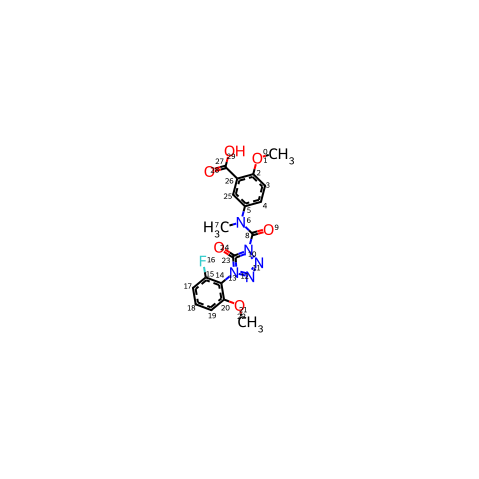 COc1ccc(N(C)C(=O)n2nnn(-c3c(F)cccc3OC)c2=O)cc1C(=O)O